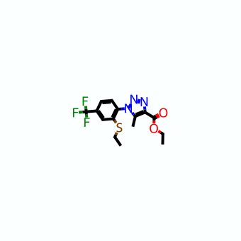 CCOC(=O)c1nnn(-c2ccc(C(F)(F)F)cc2SCC)c1C